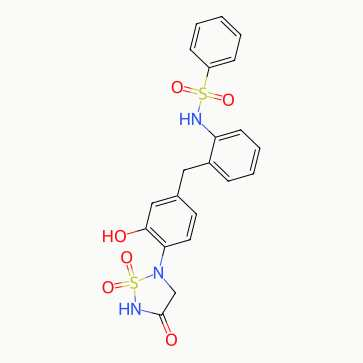 O=C1CN(c2ccc(Cc3ccccc3NS(=O)(=O)c3ccccc3)cc2O)S(=O)(=O)N1